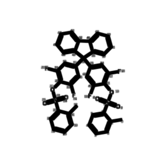 Cc1ccccc1S(=O)(=O)Oc1c(F)cc(C2(c3cc(F)c(OS(=O)(=O)c4ccccc4C)c(F)c3)c3ccccc3-c3ccccc32)cc1F